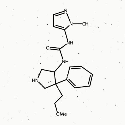 COCCC1(c2ccccc2)CNCC1NC(=O)Nc1ccnn1C